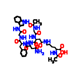 CC(=O)NCC(=O)NC(CC(=O)NCCCCC(NC(C)=O)C(=O)O)C(=O)N[C@@H](CC(N)=O)C(=O)NC(Cc1ccccc1)C(=O)NCC(=O)Nc1c[nH]c2ccccc12